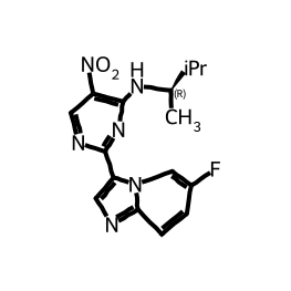 CC(C)[C@@H](C)Nc1nc(-c2cnc3ccc(F)cn23)ncc1[N+](=O)[O-]